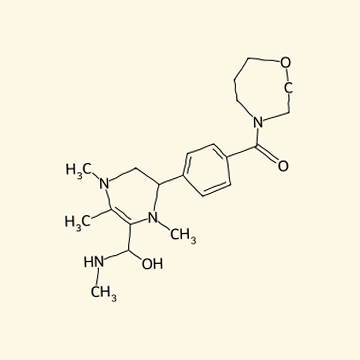 CNC(O)C1=C(C)N(C)CC(c2ccc(C(=O)N3CCCOCC3)cc2)N1C